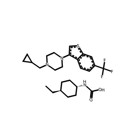 CC[C@H]1CC[C@H](NC(=O)O)CC1.FC(F)(F)c1ccc2c(N3CCN(CC4CC4)CC3)csc2c1